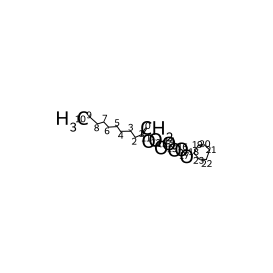 C=C(CCCCCCCCC)OOOOOOOC1CCCCC1